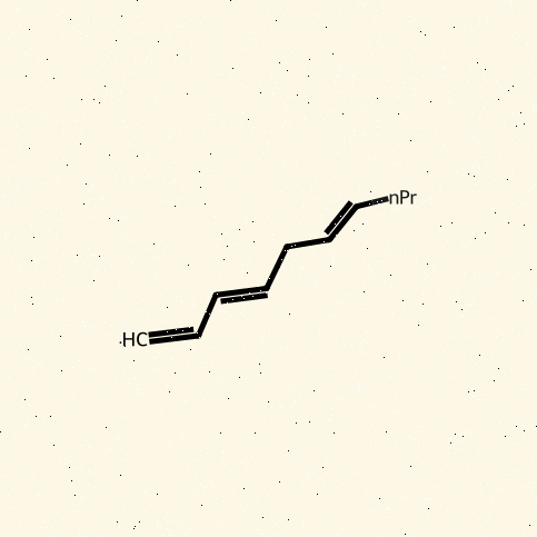 [CH]=C/C=C/C/C=C/CCC